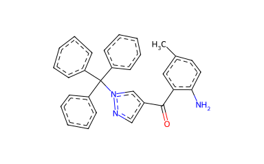 Cc1ccc(N)c(C(=O)c2cnn(C(c3ccccc3)(c3ccccc3)c3ccccc3)c2)c1